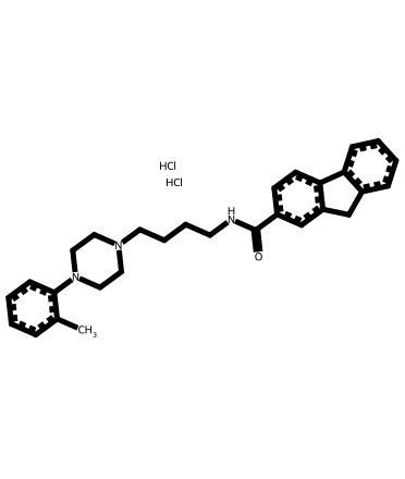 Cc1ccccc1N1CCN(CCCCNC(=O)c2ccc3c(c2)Cc2ccccc2-3)CC1.Cl.Cl